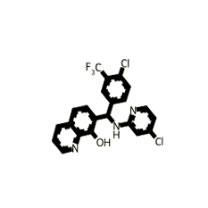 Oc1c(C(Nc2cc(Cl)ccn2)c2ccc(Cl)c(C(F)(F)F)c2)ccc2cccnc12